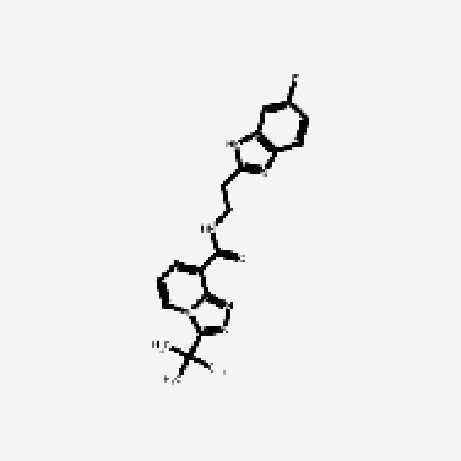 CC(C)(C)c1nnc2c(C(=O)NCCc3nc4ccc(F)cc4[nH]3)cccn12